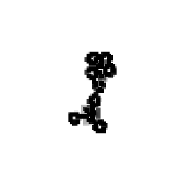 c1ccc(-c2nc(-c3ccccc3)nc(-c3ccc(-c4ccc5c(c4)c4cccc6c4n5-c4ccccc4C6(c4ccccc4)c4ccccc4)cc3)n2)cc1